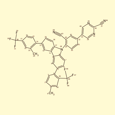 Cc1ccc(-c2ccc3c(c2)c2cc(-c4ccc(C(F)(F)F)cc4C)ccc2n3-c2ccc(-c3cnc(C#N)nc3)cc2C#N)c(C(F)(F)F)c1